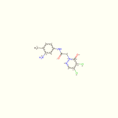 Cc1ccc(NC(=O)Cn2ncc(Cl)c(Cl)c2=O)cc1N